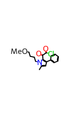 COCCCCn1c(C)cc(-c2ccccc2)c1C(=O)C(=O)Cl